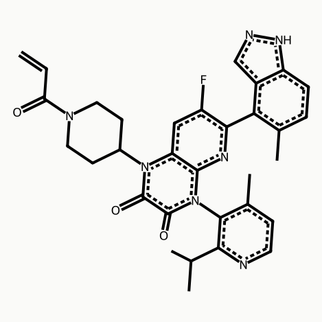 C=CC(=O)N1CCC(n2c(=O)c(=O)n(-c3c(C)ccnc3C(C)C)c3nc(-c4c(C)ccc5[nH]ncc45)c(F)cc32)CC1